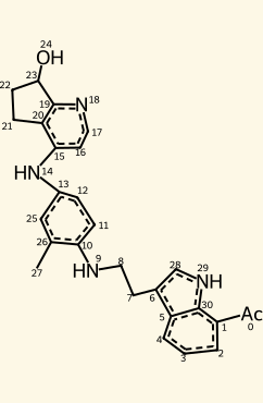 CC(=O)c1cccc2c(CCNc3ccc(Nc4ccnc5c4CCC5O)cc3C)c[nH]c12